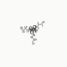 CCCC[O][Hf]([I])([O]CCCC)[O]CCCC